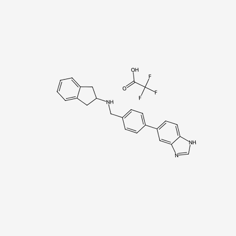 O=C(O)C(F)(F)F.c1ccc2c(c1)CC(NCc1ccc(-c3ccc4[nH]cnc4c3)cc1)C2